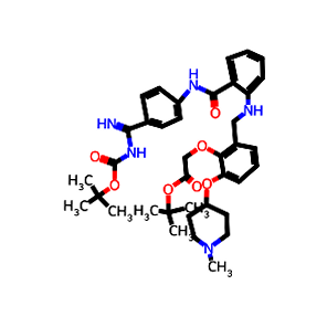 CN1CCC(Oc2cccc(CNc3ccccc3C(=O)Nc3ccc(C(=N)NC(=O)OC(C)(C)C)cc3)c2OCC(=O)OC(C)(C)C)CC1